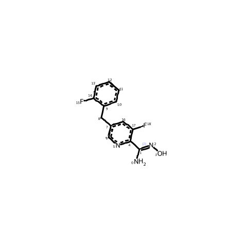 N/C(=N\O)c1ncc(Cc2ccccc2F)cc1F